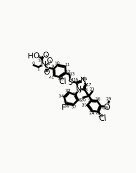 CCN(C(=O)O)S(=O)(=O)c1ccc(CSc2ncc(C(C)(C)c3ccc(Cl)c(OC)c3)n2-c2ccc(F)cc2)c(Cl)c1